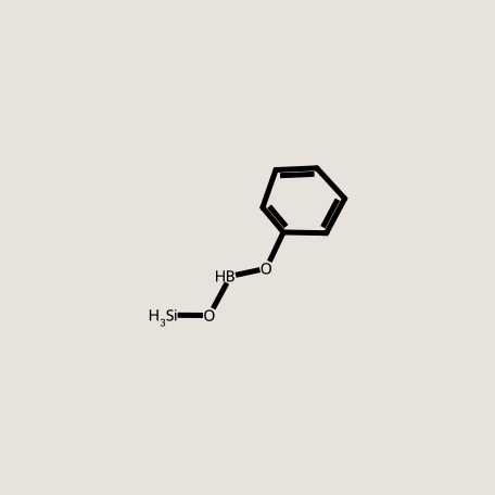 [SiH3]OBOc1ccccc1